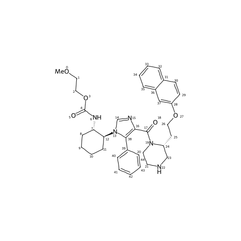 COCCOC(=O)N[C@H]1CCCC[C@@H]1n1cnc(C(=O)N2CCNC[C@H]2CCOc2ccc3ccccc3c2)c1-c1ccccc1